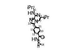 CC(C)CNc1nc(C(C)C)cn2c(-c3ccc(C(=O)NC4CC4)cc3)cnc12